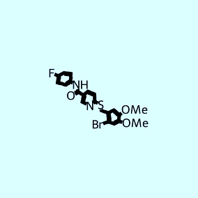 COc1cc(Br)c(CSc2ccc(C(=O)Nc3ccc(F)cc3)cn2)cc1OC